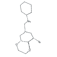 BrC1CC(CNC2CCCCC2)CC2OCCOC12